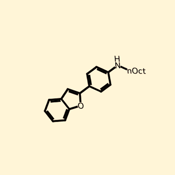 CCCCCCCCNc1ccc(-c2cc3ccccc3o2)cc1